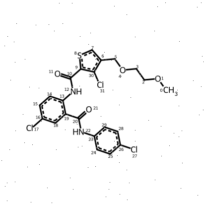 COCCOCc1csc(C(=O)Nc2ccc(Cl)cc2C(=O)Nc2ccc(Cl)cc2)c1Cl